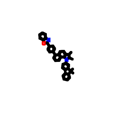 Cc1c(C)n(-c2ccc3c(c2)C(C)(C)c2ccccc2-3)c2c1ccc1c(-c3ccc(-c4nc5ccccc5o4)cc3)cccc12